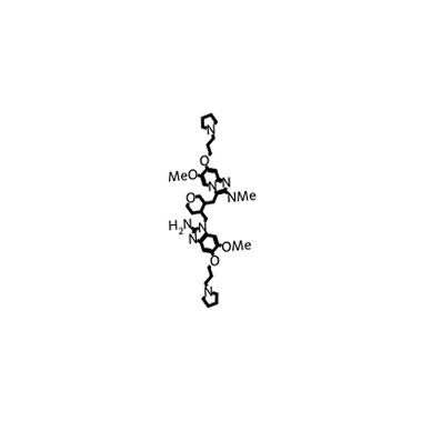 CNc1nc2cc(OCCCN3CCCC3)c(OC)cn2c1CC1COCCC1Cn1c(N)nc2cc(OCCCN3CCCC3)c(OC)cc21